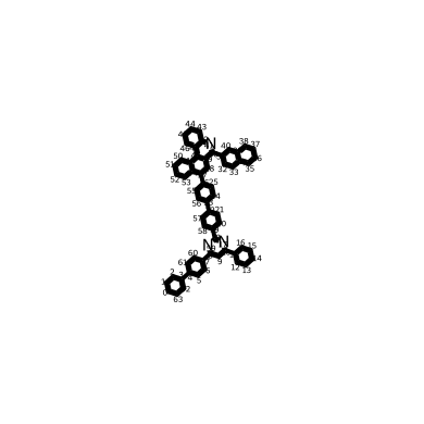 c1ccc(-c2ccc(-c3cc(-c4ccccc4)nc(-c4ccc(-c5ccc(-c6cc7c(-c8ccc9ccccc9c8)nc8ccccc8c7c7ccccc67)cc5)cc4)n3)cc2)cc1